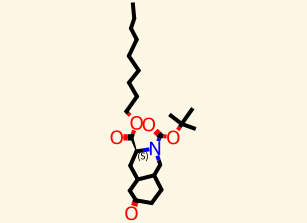 CCCCCCCCCOC(=O)[C@@H]1CC2CC(=O)CCC2CN1C(=O)OC(C)(C)C